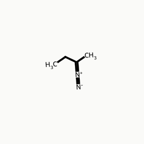 CCC(C)=[N+]=[N-]